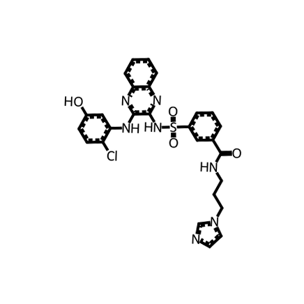 O=C(NCCCn1ccnc1)c1cccc(S(=O)(=O)Nc2nc3ccccc3nc2Nc2cc(O)ccc2Cl)c1